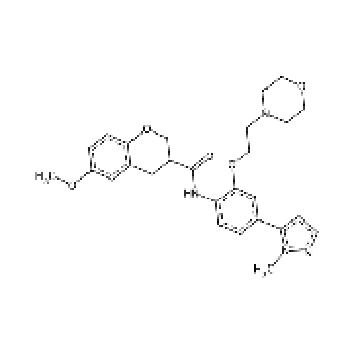 COc1ccc2c(c1)CC(C(=O)Nc1ccc(-c3ccnn3C)cc1OCCN1CCOCC1)CO2